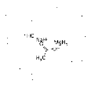 CC(=O)O.Cl.[MgH2].[NaH]